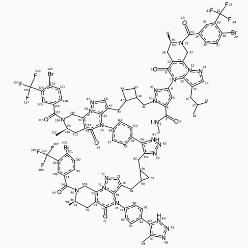 CNC(=O)c1cc(-n2c(=O)c3c(n4ncc(CC(C)C)c24)CN(C(=O)c2ccc(Br)c(C(F)(F)F)c2)[C@H](C)C3)nn1CC1CCC1Cc1cnn2c3c(c(=O)n(-c4ccc(-c5[nH]nnc5CC5CC5Cc5cnn6c7c(c(=O)n(-c8ccc(-c9[nH]nnc9C)cc8)c56)C[C@@H](C)N(C(=O)c5ccc(Br)c(C(F)(F)F)c5)C7)cc4)c12)C[C@@H](C)N(C(=O)c1ccc(Br)c(C(F)(F)F)c1)C3